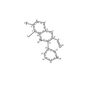 Cc1c(F)ccc2cc(C=O)c(-c3cccnc3)nc12